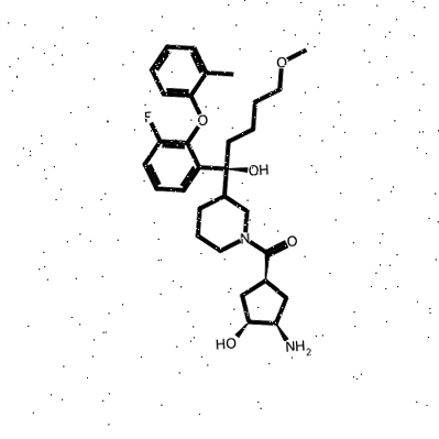 COCCCC[C@@](O)(c1cccc(F)c1Oc1ccccc1C)C1CCCN(C(=O)[C@H]2C[C@@H](N)[C@@H](O)C2)C1